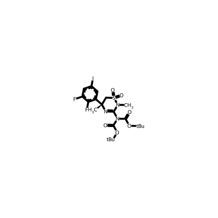 CN1C(N(C(=O)OC(C)(C)C)C(=O)OC(C)(C)C)=N[C@](C)(c2cc(I)cc(F)c2F)CS1(=O)=O